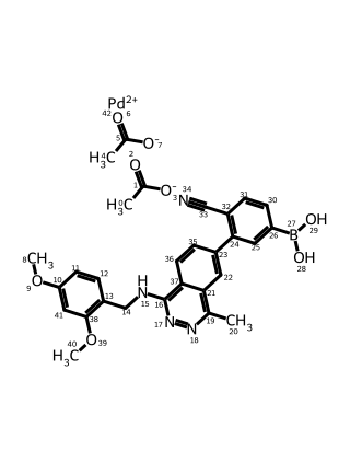 CC(=O)[O-].CC(=O)[O-].COc1ccc(CNc2nnc(C)c3cc(-c4cc(B(O)O)ccc4C#N)ccc23)c(OC)c1.[Pd+2]